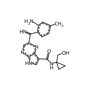 Cc1ccc(C(=N)c2cnc3[nH]cc(C(=O)NC4(CO)CC4)c3n2)c(N)c1